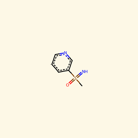 CS(=N)(=O)c1c[c]cnc1